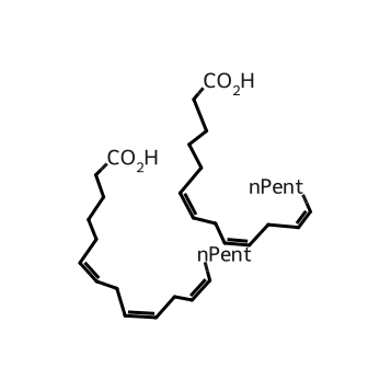 CCCCC/C=C\C/C=C\C/C=C\CCCCC(=O)O.CCCCC/C=C\C/C=C\C/C=C\CCCCC(=O)O